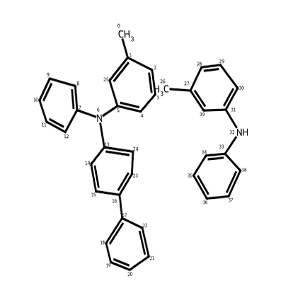 Cc1cccc(N(c2ccccc2)c2ccc(-c3ccccc3)cc2)c1.Cc1cccc(Nc2ccccc2)c1